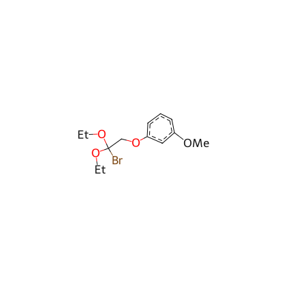 CCOC(Br)(COc1cccc(OC)c1)OCC